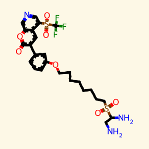 NCC(N)S(=O)(=O)CCCCCCCCOc1cccc(-c2cc3c(S(=O)(=O)C(F)(F)F)cncc3oc2=O)c1